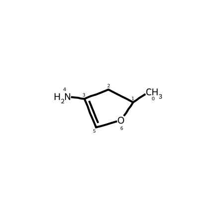 CC1CC(N)=CO1